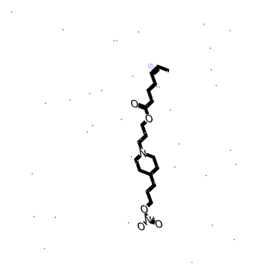 C/C=C\CCCC(=O)OCCCN1CCC(CCCO[N+](=O)[O-])CC1